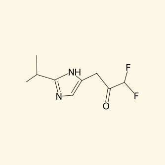 CC(C)c1ncc(CC(=O)C(F)F)[nH]1